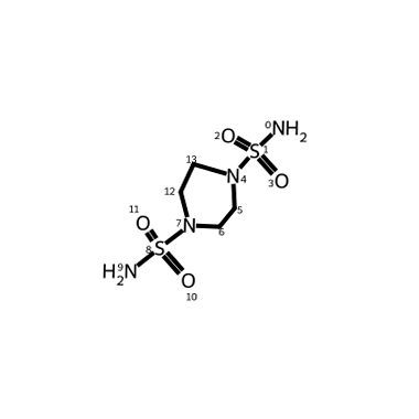 NS(=O)(=O)N1CCN(S(N)(=O)=O)CC1